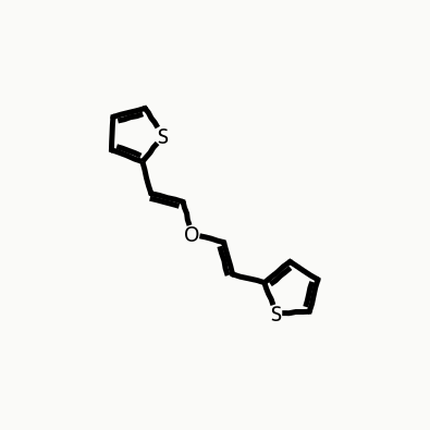 C(=Cc1cccs1)OC=Cc1cccs1